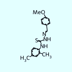 COc1ccc(C=NNC(=S)Nc2ccc(C)cc2C)cc1